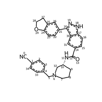 N#Cc1ccc(CN2CCC[C@@H](NC(=O)c3ccc4[nH]nc(-c5ccc6c(c5)CCO6)c4c3)C2)cc1